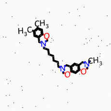 Cc1cc2c(cc1C)OCN(CCCCCCCN1COc3cc4c(cc3C1)CN(C)CO4)C2